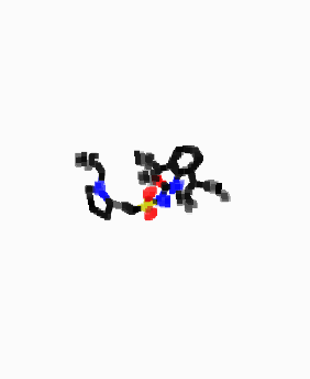 CCN1CCCC1C=CS(=O)(=O)NC(=O)Nc1c(C(C)C)cccc1C(C)C